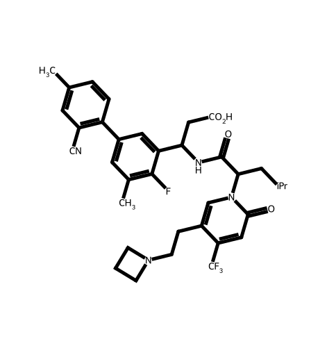 Cc1ccc(-c2cc(C)c(F)c(C(CC(=O)O)NC(=O)C(CC(C)C)n3cc(CCN4CCC4)c(C(F)(F)F)cc3=O)c2)c(C#N)c1